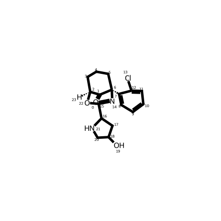 O=C1[C@@H]2CCC[C@@]1(c1ccccc1Cl)N=C(C1CC(O)CN1)O2